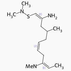 C/C=C(\C/C=C\CC(C)C/C(N)=C\SN(C)C)NC